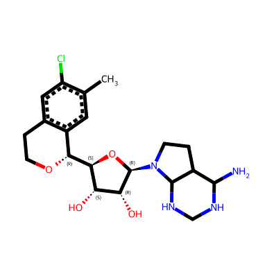 Cc1cc2c(cc1Cl)CCO[C@H]2[C@H]1O[C@@H](N2CCC3C(N)NCNC32)[C@H](O)[C@@H]1O